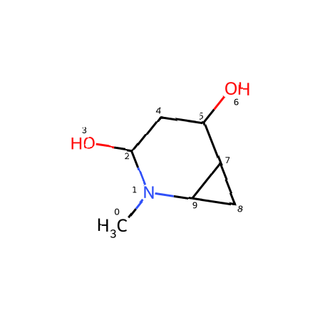 CN1C(O)CC(O)C2CC21